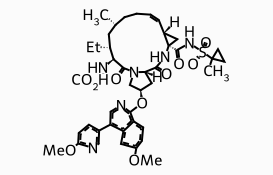 CC[C@@H]1C[C@H](C)CCC=C[C@@H]2C[C@@]2(C(=O)NS(=O)(=O)C2(C)CC2)NC(=O)[C@@H]2C[C@@H](Oc3ncc(-c4ccc(OC)nc4)c4cc(OC)ccc34)CN2C(=O)[C@H]1NC(=O)O